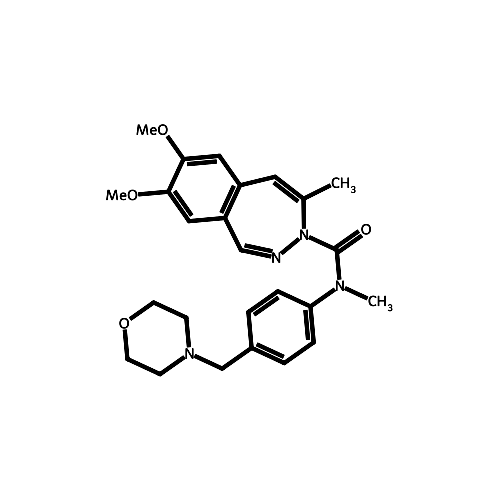 COc1cc2c(cc1OC)C=C(C)N(C(=O)N(C)c1ccc(CN3CCOCC3)cc1)N=C2